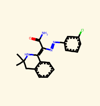 CC1(C)Cc2ccccc2C(=C(N=Nc2cccc(Cl)c2)C(N)=O)N1